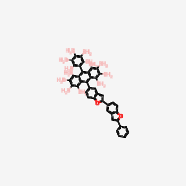 Bc1c(B)c(B)c(-c2c3c(B)c(B)c(B)c(B)c3c(-c3ccc4oc(-c5ccc6oc(-c7ccccc7)cc6c5)cc4c3)c3c(B)c(B)c(B)c(B)c23)c(B)c1B